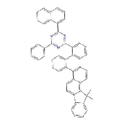 CC1(C)c2ccccc2-c2ccc3c(-c4ccccc4-c4ccccc4-c4nc(-c5ccccc5)nc(-c5cccc6ccccc56)n4)cccc3c21